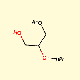 CCCOC(CO)COC(C)=O